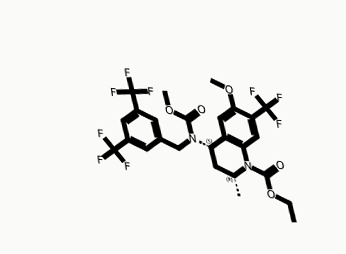 CCOC(=O)N1c2cc(C(F)(F)F)c(OC)cc2[C@@H](N(Cc2cc(C(F)(F)F)cc(C(F)(F)F)c2)C(=O)OC)C[C@H]1C